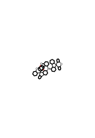 c1ccc2c(c1)Oc1ccccc1C21c2ccccc2-c2ccc(N(c3cccc4c3-c3ccccc3C43c4ccccc4Oc4ccccc43)c3cccc4oc5ccccc5c34)cc21